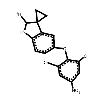 [2H]C1Nc2ccc(Oc3c(Cl)cc([N+](=O)[O-])cc3Cl)cc2C12CC2